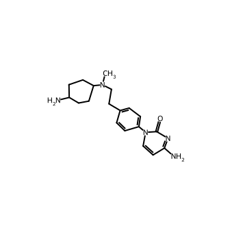 CN(CCc1ccc(-n2ccc(N)nc2=O)cc1)C1CCC(N)CC1